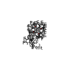 CCCC(C)C[NH+](c1cc(F)c(F)c(C(F)(F)F)c1F)C(F)(F)C(F)(F)F.Fc1cc2c([B-](c3c(F)c(F)c(F)c4c(F)c(F)c(F)cc34)(c3c(F)c(F)c(F)c4c(F)c(F)c(F)cc34)c3c(F)c(F)c(F)c4c(F)c(F)c(F)cc34)c(F)c(F)c(F)c2c(F)c1F